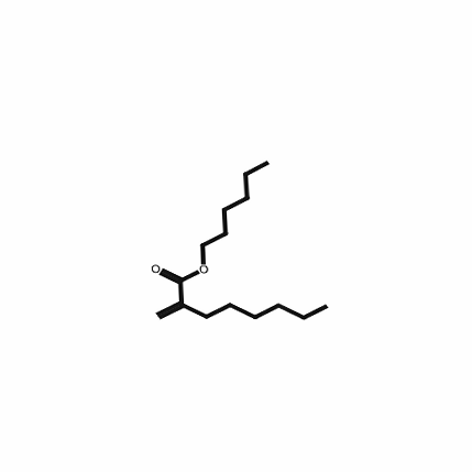 C=C(CCCCCC)C(=O)OCCCCCC